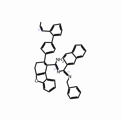 C/C=C\c1ccccc1-c1ccc(C2=C(/C(N)=N/C(=N\Cc3ccccc3)c3ccc4ccccc4c3)c3c(oc4ccccc34)CC2)cc1